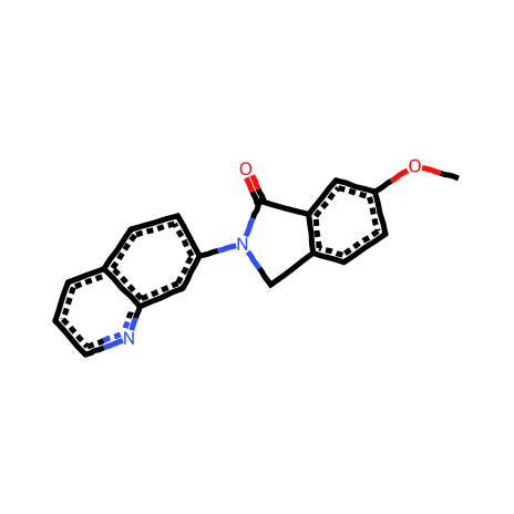 COc1ccc2c(c1)C(=O)N(c1ccc3cccnc3c1)C2